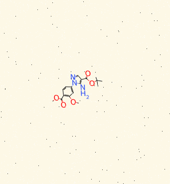 COC(=O)c1ccc(-n2ncc(C(=O)OC(C)(C)C)c2N)cc1OC